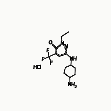 CCn1nc(NC2CCC(N)CC2)cc(C(F)(F)F)c1=O.Cl